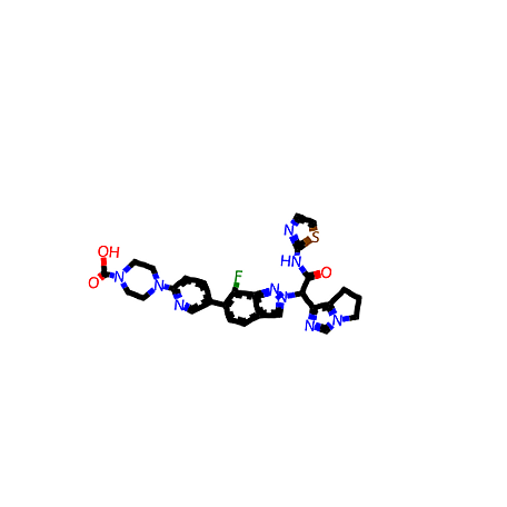 O=C(Nc1nccs1)C(c1ncn2c1CCC2)n1cc2ccc(-c3ccc(N4CCN(C(=O)O)CC4)nc3)c(F)c2n1